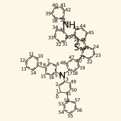 CC1C=C(N(c2ccc(-c3ccccc3)cc2)c2ccc(-c3cccc4c3sc3c(-c5ccccc5Nc5ccccc5)cccc34)cc2)C=CC1c1ccccc1